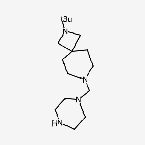 CC(C)(C)N1CC2(CCN(CN3CCNCC3)CC2)C1